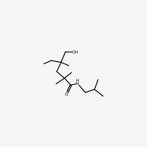 CCC(C)(CO)CC(C)(C)C(=O)NCC(C)C